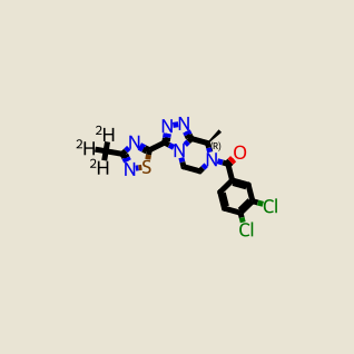 [2H]C([2H])([2H])c1nsc(-c2nnc3n2CCN(C(=O)c2ccc(Cl)c(Cl)c2)[C@@H]3C)n1